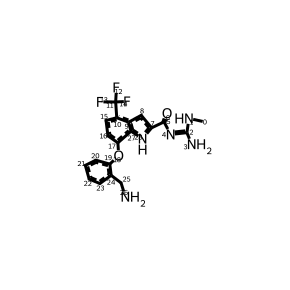 CNC(N)=NC(=O)c1cc2c(C(F)(F)F)ccc(Oc3ccccc3CN)c2[nH]1